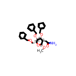 CO[C@@H]1O[C@H](COCc2ccccc2)[C@H](OCc2ccccc2)[C@H](OCc2ccccc2)[C@H]1CC(N)=O